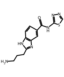 NCCCc1nc2cc(C(=O)Nc3nncs3)ccc2[nH]1